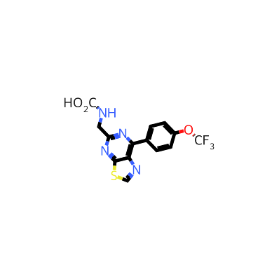 O=C(O)NCc1nc(-c2ccc(OC(F)(F)F)cc2)c2ncsc2n1